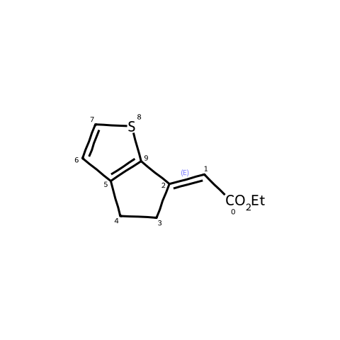 CCOC(=O)/C=C1\CCc2ccsc21